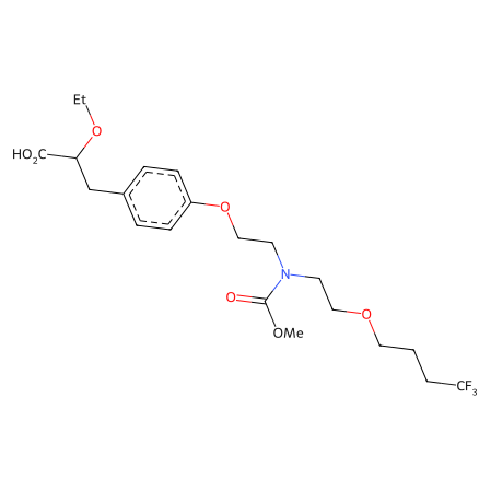 CCOC(Cc1ccc(OCCN(CCOCCCC(F)(F)F)C(=O)OC)cc1)C(=O)O